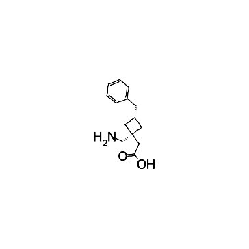 NC[C@]1(CC(=O)O)C[C@H](Cc2ccccc2)C1